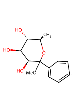 COC1(c2cc[c]cc2)O[C@H](C)[C@@H](O)[C@H](O)[C@@H]1O